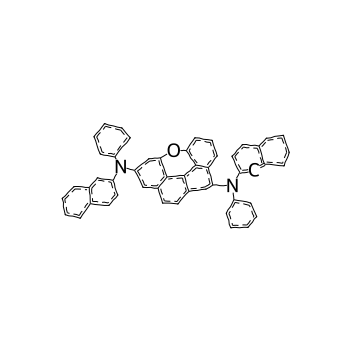 c1ccc(N(c2ccc3ccccc3c2)c2cc3c4c(ccc5cc(N(c6ccccc6)c6ccc7ccccc7c6)c6cccc(c6c54)O3)c2)cc1